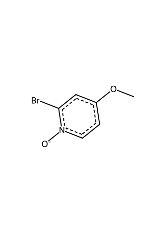 COc1cc[n+]([O-])c(Br)c1